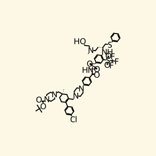 CN(CCO)CC[C@H](CSc1ccccc1)Nc1ccc(S(=O)(=O)NC(=O)c2ccc(N3CCN(CC4=C(c5ccc(Cl)cc5)CC[C@@](C)(CN5CCN(C(=O)OC(C)(C)C)CC5)C4)CC3)cc2)cc1S(=O)(=O)C(F)(F)F